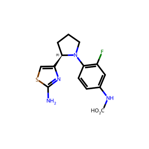 Nc1nc([C@H]2CCCN2c2ccc(NC(=O)O)cc2F)cs1